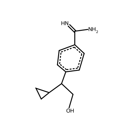 N=C(N)c1ccc(C(CO)C2CC2)cc1